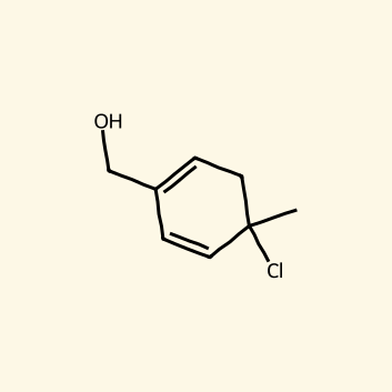 CC1(Cl)C=CC(CO)=CC1